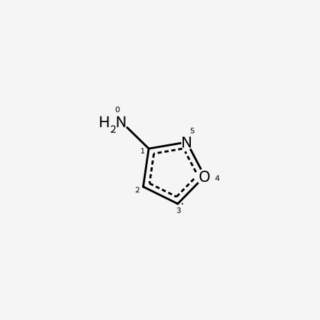 Nc1c[c]on1